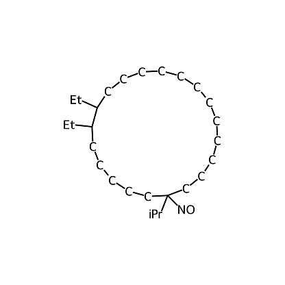 CCC1CCCCCCCCCCCCC(N=O)(C(C)C)CCCCCC1CC